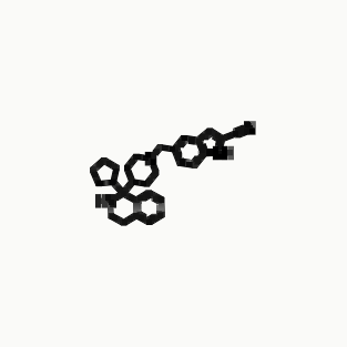 N#Cc1cc2cc(CN3CCC(C4(C5CCCC5)NCCc5ccccc54)CC3)ccc2[nH]1